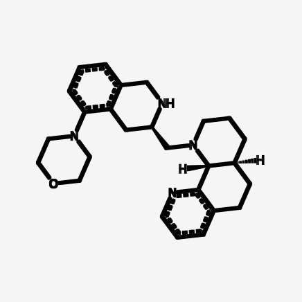 c1cnc2c(c1)CC[C@@H]1CCCN(C[C@H]3Cc4c(cccc4N4CCOCC4)CN3)[C@@H]21